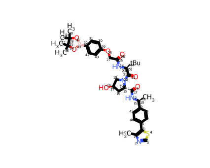 Cc1ncsc1-c1ccc([C@H](C)NC(=O)[C@@H]2C[C@@H](O)CN2C(=O)[C@@H](NC(=O)COc2ccc(B3OC(C)(C)C(C)(C)O3)cc2)C(C)(C)C)cc1